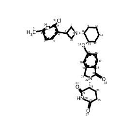 Cc1ccc(C2CN([C@@H]3CCCC[C@@H]3Oc3ccc4c(c3)CN([C@@H]3CCC(=O)NC3=O)C4=O)C2)c(Cl)c1